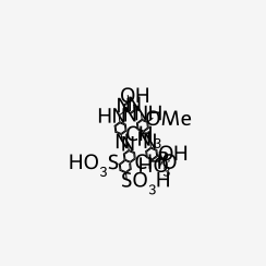 COc1cc(/N=N/c2cccc(P(=O)(O)O)c2)ccc1Nc1nc(O)nc(Nc2ccc(/N=N/c3cc(C)c4cc(S(=O)(=O)O)cc(S(=O)(=O)O)c4c3)c(C)c2)n1